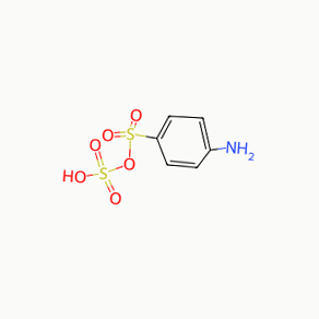 Nc1ccc(S(=O)(=O)OS(=O)(=O)O)cc1